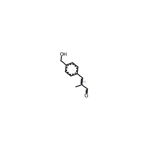 C/C(C=O)=C\c1ccc(CO)cc1